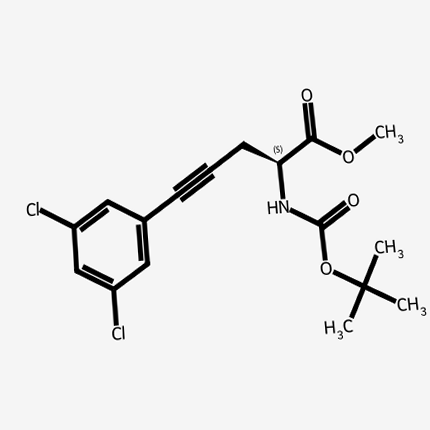 COC(=O)[C@H](CC#Cc1cc(Cl)cc(Cl)c1)NC(=O)OC(C)(C)C